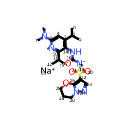 CC(C)c1cc(N(C)C)nc(C(C)C)c1NC(=O)[N-]S(=O)(=O)c1cnn2c1OCCC2.[Na+]